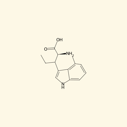 CCC(c1c[nH]c2cccc(C)c12)[C@H](N)C(=O)O